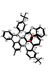 Cc1cc2c3c(c1)N(c1ccc(C(C)(C)C)cc1-c1ccccc1)c1cc4c(cc1B3N(c1ccc(C(C)(C)C)cc1)c1ccccc1-2)oc1ccccc14